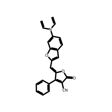 C=CN(C=C)c1ccc2cc(C=C3OC(=O)C(C#N)=C3c3ccccc3)oc2c1